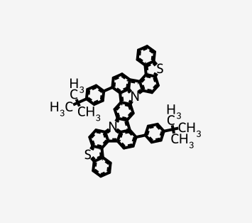 CC(C)(C)c1ccc(-c2ccc3c4c5c(ccc4n4c6cc7c8c(-c9ccc(C(C)(C)C)cc9)ccc9c%10c%11c(ccc%10n(c7cc6c2c34)c98)sc2ccccc2%11)sc2ccccc25)cc1